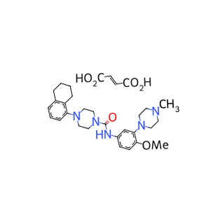 COc1ccc(NC(=O)N2CCN(c3cccc4c3CCCC4)CC2)cc1N1CCN(C)CC1.O=C(O)/C=C/C(=O)O